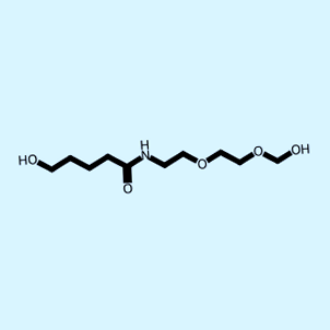 O=C(CCCCO)NCCOCCOCO